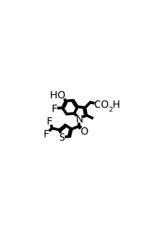 CC1=C(CC(=O)O)C2=CC(O)=C(F)CC2N1C(=O)c1csc(C(F)F)c1